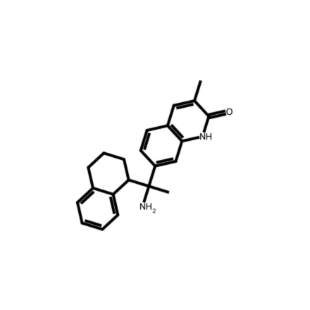 Cc1cc2ccc(C(C)(N)C3CCCc4ccccc43)cc2[nH]c1=O